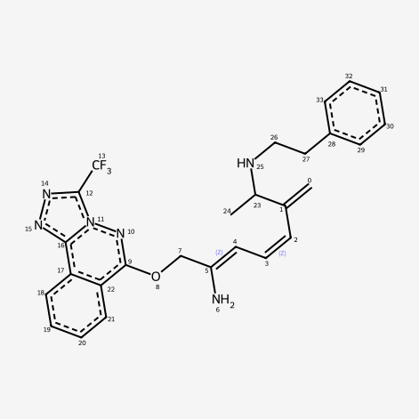 C=C(/C=C\C=C(/N)COc1nn2c(C(F)(F)F)nnc2c2ccccc12)C(C)NCCc1ccccc1